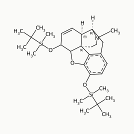 CN1CC[C@]23c4c5ccc(O[Si](C)(C)C(C)(C)C)c4OC2C(O[Si](C)(C)C(C)(C)C)C=C[C@H]3[C@H]1C5